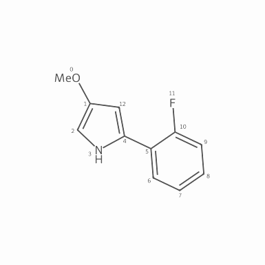 COc1c[nH]c(-c2ccccc2F)c1